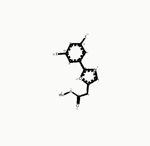 CC(C)(C)OC(=O)Cc1cnc(-c2cc(F)cc(F)c2)o1